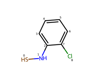 SNc1ccccc1Cl